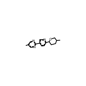 Cc1cnc(-c2ccc(C3CCC(C)CO3)nc2)nc1